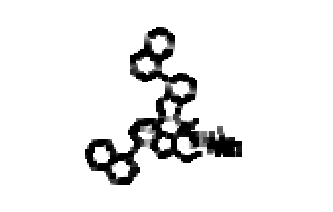 CCC.CCC1=Cc2c(-c3cccc4ccccc34)cccc2[CH]1[Zr]([CH3])([SiH3])[CH]1C(CC)=Cc2c(-c3cccc4ccccc34)cccc21.Cl.Cl